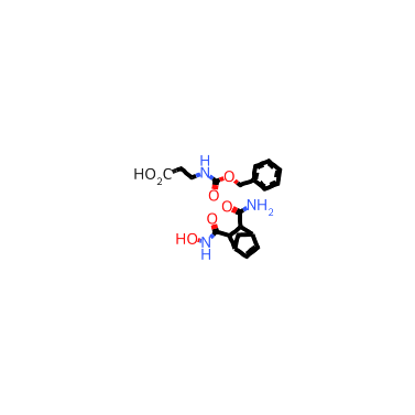 NC(=O)C1C2C=CC(C2)C1C(=O)NO.O=C(O)CCNC(=O)OCc1ccccc1